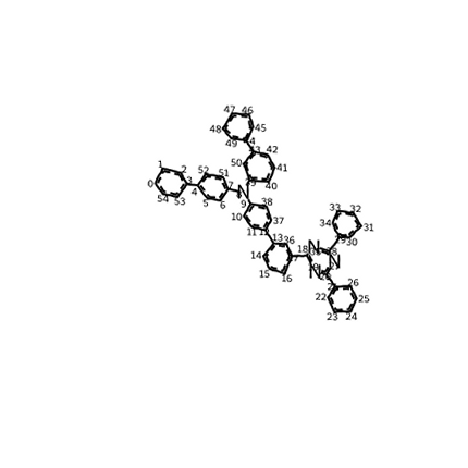 c1ccc(-c2ccc(N(c3ccc(-c4cccc(-c5nc(-c6ccccc6)nc(-c6ccccc6)n5)c4)cc3)c3cccc(-c4ccccc4)c3)cc2)cc1